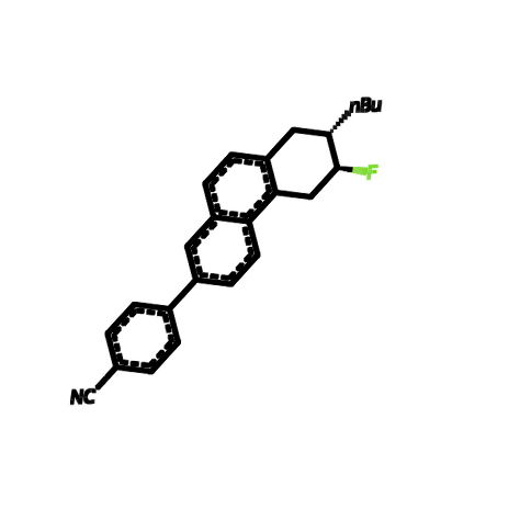 CCCC[C@H]1Cc2ccc3cc(-c4ccc(C#N)cc4)ccc3c2C[C@@H]1F